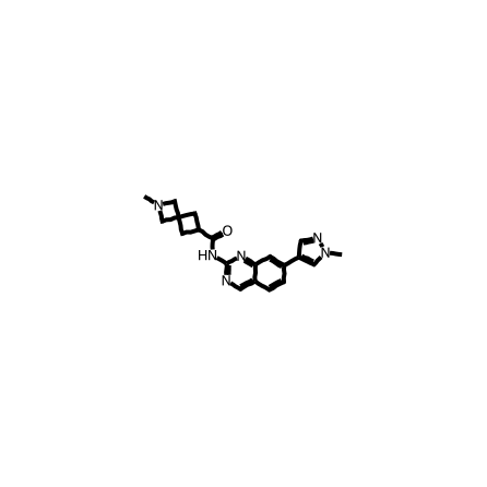 CN1CC2(CC(C(=O)Nc3ncc4ccc(-c5cnn(C)c5)cc4n3)C2)C1